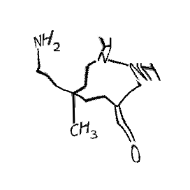 CC1(CN)NNC1=O